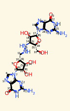 Nc1nc2c(ncn2[C@@H]2O[C@H](CNN[C@H]3[C@@H](O)[C@H](n4cnc5c(=O)[nH]c(N)nc54)O[C@@H]3CO)[C@@H](O)[C@H]2O)c(=O)[nH]1